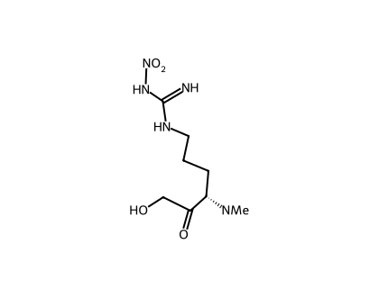 CN[C@@H](CCCNC(=N)N[N+](=O)[O-])C(=O)CO